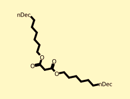 CCCCCCCCCCCCCCCCOC(=O)CC(=O)OCCCCCCCCCCCCCCCC